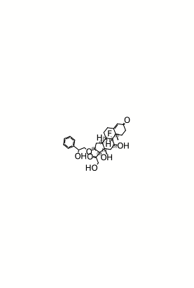 C[C@]12CCC(=O)C=C1CC[C@H]1[C@@H]3C[C@@H](OCC(O)c4ccccc4)[C@](O)(C(=O)CO)[C@@]3(C)C[C@H](O)[C@@]12F